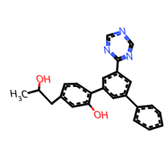 CC(O)Cc1ccc(-c2cc(-c3ccccc3)cc(-c3ncncn3)c2)c(O)c1